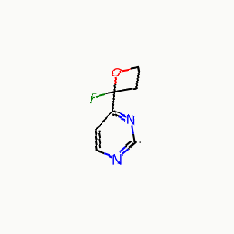 FC1(c2ccn[c]n2)CCO1